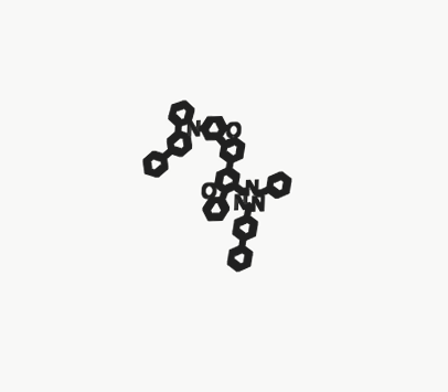 c1ccc(-c2ccc(-c3nc(-c4ccccc4)nc(-c4cc(-c5ccc6oc7ccc(-n8c9ccccc9c9cc(-c%10ccccc%10)ccc98)cc7c6c5)cc5oc6ccccc6c45)n3)cc2)cc1